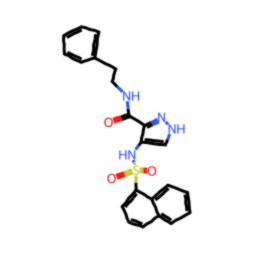 O=C(NCCc1ccccc1)c1n[nH]cc1NS(=O)(=O)c1cccc2ccccc12